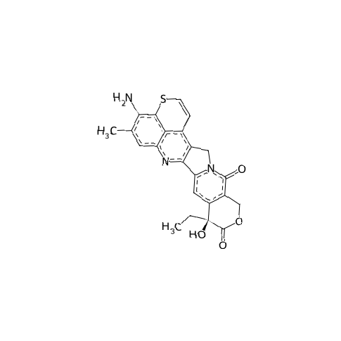 CC[C@@]1(O)C(=O)OCc2c1cc1n(c2=O)Cc2c-1nc1cc(C)c(N)c3c1c2C=CS3